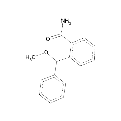 COC(c1ccccc1)c1ccccc1C(N)=O